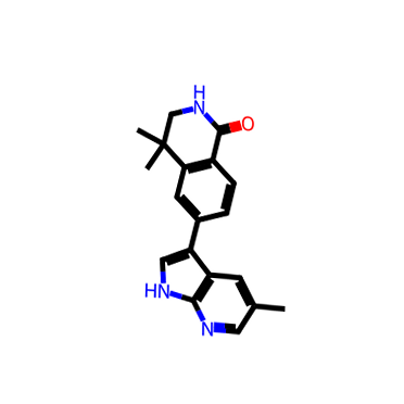 Cc1cnc2[nH]cc(-c3ccc4c(c3)C(C)(C)CNC4=O)c2c1